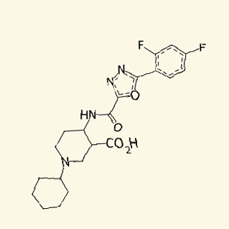 O=C(NC1CCN(C2CCCCC2)CC1C(=O)O)c1nnc(-c2ccc(F)cc2F)o1